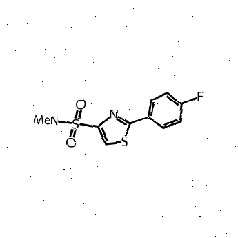 CNS(=O)(=O)c1csc(-c2ccc(F)cc2)n1